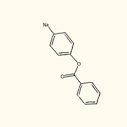 O=C(Oc1cc[c]([Na])cc1)c1ccccc1